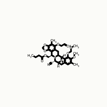 C=CCOc1c(C)c2c(c3c1CC1[C@@H]4c5c(cc(C)c(OC)c5OCOC)C[C@H]([C@H](C#N)N1[C@H]3COC(=O)CCC)N4C)OCO2